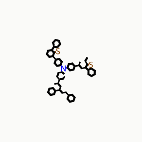 C=Cc1sc2ccccc2c1/C=C(\C)c1ccc(N(C(=C)\C=C/C(=C\C)C(/C)=C/C(=C\Cc2ccccc2)c2ccccc2)c2ccc(-c3cccc4c3sc3ccccc34)cc2)cc1